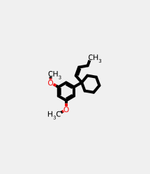 CC/C=C\C1(c2cc(OC)cc(OC)c2)CCCCC1